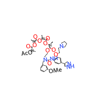 COc1cccc(CN(CCOC(=O)[C@H](C)OC(=O)[C@H](C)OC(=O)[C@H](C)OC(=O)[C@H](C)OC(C)=O)C(=O)Nc2ccc(-c3cn[nH]c3)cc2OCCN2CCCC2)c1